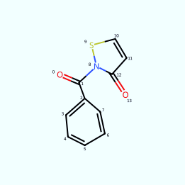 O=C(c1ccccc1)n1sccc1=O